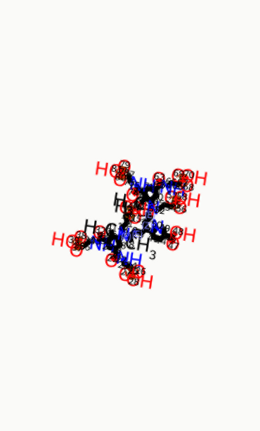 C\C(=C/C=C(/C=C/C(C)=[N+](\CCCS(=O)(=O)O)c1cc(C(=O)NCCS(=O)(=O)O)cc(C(=O)NCCS(=O)(=O)O)c1C)c1ccc(C(=O)O)cn1)N(CCCS(=O)(=O)O)c1cc(C(=O)NCCS(=O)(=O)O)cc(C(=O)NCCS(=O)(=O)O)c1C